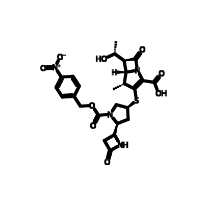 C[C@@H](O)[C@H]1C(=O)N2C(C(=O)O)=C(S[C@H]3C[C@@H](C4CC(=O)N4)N(C(=O)OCc4ccc([N+](=O)[O-])cc4)C3)[C@H](C)[C@H]12